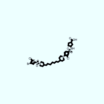 O=C(O)C1CCC(NS(=O)(=O)c2ccc(N3CCC(CCCCCCCC4CCN(S(=O)(=O)c5cc(Br)c(Cl)s5)CC4)CC3)c(Cl)c2)C1